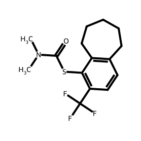 CN(C)C(=O)Sc1c(C(F)(F)F)ccc2c1CCCCC2